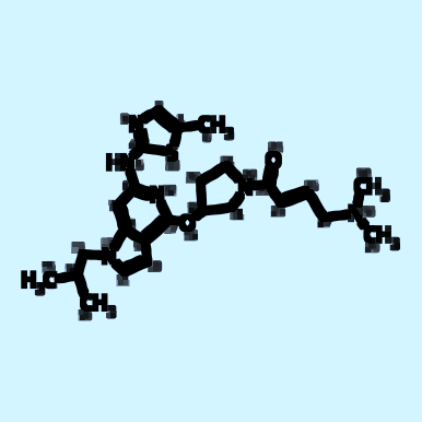 Cc1cnc(Nc2cc3c(ccn3CC(C)C)c(OC3CCN(C(=O)C=CCN(C)C)C3)n2)s1